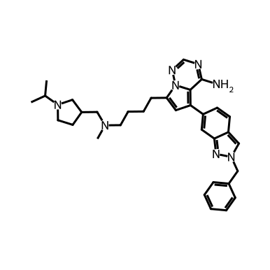 CC(C)N1CCC(CN(C)CCCCc2cc(-c3ccc4cn(Cc5ccccc5)nc4c3)c3c(N)ncnn23)C1